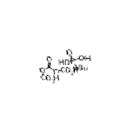 CCCCP(=O)(O)O.O=C(O)OC(=O)OC(=O)O